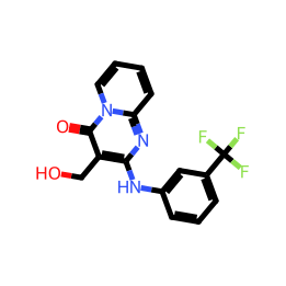 O=c1c(CO)c(Nc2cccc(C(F)(F)F)c2)nc2ccccn12